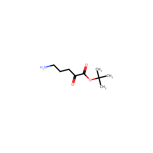 CC(C)(C)OC(=O)C(=O)CCCN